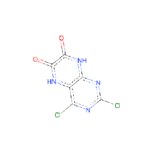 O=c1[nH]c2nc(Cl)nc(Cl)c2[nH]c1=O